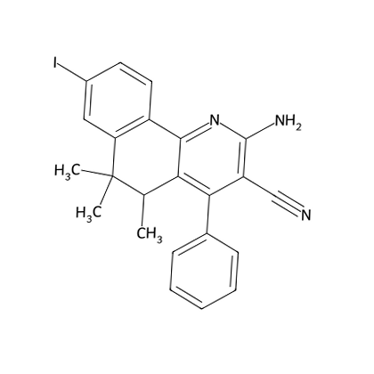 CC1c2c(nc(N)c(C#N)c2-c2ccccc2)-c2ccc(I)cc2C1(C)C